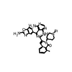 Cc1cccc2cc(CNc3ncnc(N)c3C(=N)c3ccc4oc(N)nc4c3)n(C3CCN(C(C)C)CC3)c(=O)c12